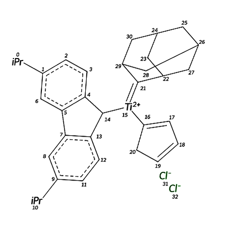 CC(C)c1ccc2c(c1)-c1cc(C(C)C)ccc1[CH]2[Ti+2]([C]1=CC=CC1)=[C]1C2CC3CC(C2)CC1C3.[Cl-].[Cl-]